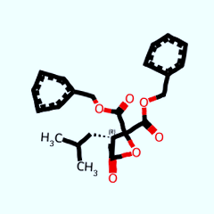 CC(C)C[C@H]1C(=O)OC1(C(=O)OCc1ccccc1)C(=O)OCc1ccccc1